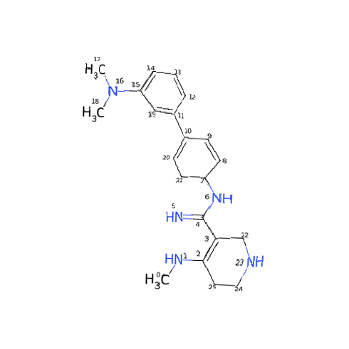 CNC1=C(C(=N)NC2C=CC(c3cccc(N(C)C)c3)=CC2)CNCC1